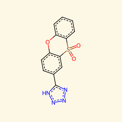 O=S1(=O)c2ccccc2Oc2ccc(-c3nnn[nH]3)cc21